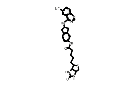 N#Cc1ccc2ncnc(NC3Cc4ccc(NC(=O)CCCCC5SCC6NC(=O)NC65)cc4C3)c2c1